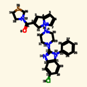 O=C(C1=CC2=CC=C[N@@+]2(N2CCN(c3nc4cc(Cl)ccc4n3-c3ccccc3)CC2)C1)N1CCSC1